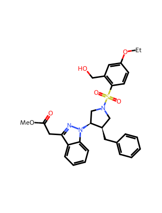 CCOc1ccc(S(=O)(=O)N2C[C@@H](Cc3ccccc3)[C@@H](n3nc(CC(=O)OC)c4ccccc43)C2)c(CO)c1